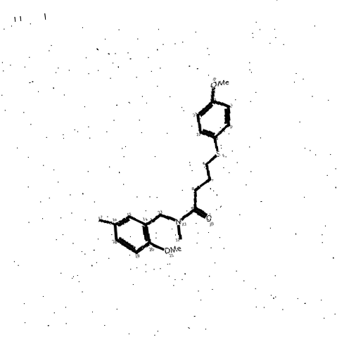 COc1ccc(SCCCC(=O)N(C)Cc2cc(C)ccc2OC)cc1